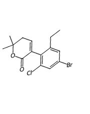 CCc1cc(Br)cc(Cl)c1C1=CCC(C)(C)OC1=O